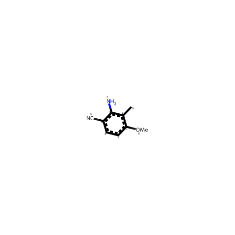 COc1ccc(C#N)c(N)c1C